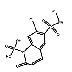 CC(C)NS(=O)(=O)c1cc2c[c]c(=O)n(P(=O)(O)O)c2cc1Cl